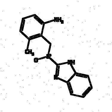 Cc1cccc(N)c1C[S+]([O-])c1nc2ccccc2[nH]1